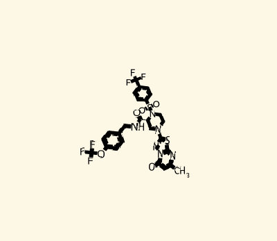 Cc1cc(=O)n2nc(N3CCN(S(=O)(=O)c4ccc(C(F)(F)F)cc4)[C@@H](C(=O)NCc4ccc(OC(F)(F)F)cc4)C3)sc2n1